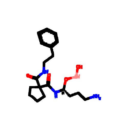 NCCC[C@H](NC(=O)C1(C(=O)NCCc2ccccc2)CCCC1)OBO